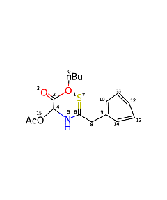 CCCCOC(=O)C(NC(=S)Cc1ccccc1)OC(C)=O